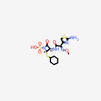 CON=C(C(=O)N[C@@H]1C(=O)N(S(=O)(=O)O)[C@@H]1SC1CCCCC1)c1csc(N)n1